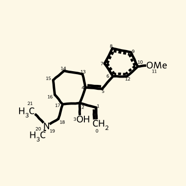 C=CC1(O)C(=Cc2cccc(OC)c2)CCCCC1CN(C)C